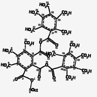 CCCCCCCCOC(=O)c1c(C(=O)O)c(C(=O)O)c(C(=O)O)c(C(=O)OC(=O)c2c(C(=O)O)c(C(=O)O)c(C(=O)O)c(C(=O)O)c2C(=O)O)c1C(=O)OC(=O)c1c(C(=O)O)c(C(=O)O)c(C(=O)O)c(C(=O)O)c1C(=O)O